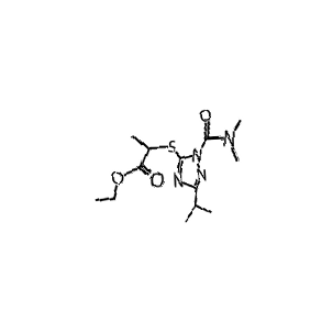 CCOC(=O)C(C)Sc1nc(C(C)C)nn1C(=O)N(C)C